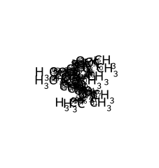 CCCCC(CC)COCC1(COCC(CC)CCCC)COc2csc(-c3sc(-c4ccc(-c5scc6c5OCC(COCC(CC)CCCC)(COCC(CC)CCCC)CO6)n4C)c4c3OCC(COCC(CC)CCCC)(COCC(CC)CCCC)CO4)c2OC1